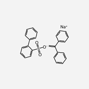 C=C(c1ccccc1)c1ccccc1.O=S(=O)([O-])c1ccccc1-c1ccccc1.[Na+]